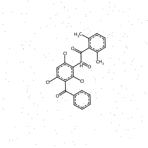 Cc1cccc(C)c1C(=O)[PH](=O)c1c(Cl)cc(Cl)c(C(=O)c2ccccc2)c1Cl